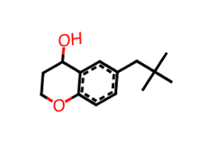 CC(C)(C)Cc1ccc2c(c1)C(O)CCO2